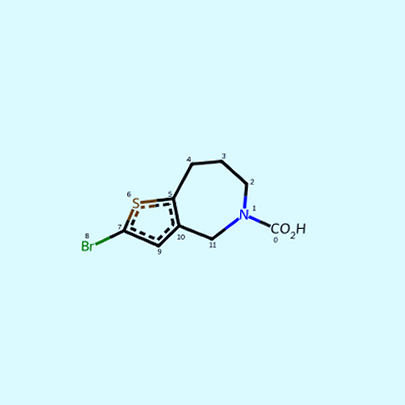 O=C(O)N1CCCc2sc(Br)cc2C1